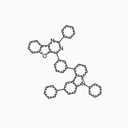 c1ccc(-c2ccc3c(c2)c2c(-c4cccc(-c5nc(-c6ccccc6)nc6c5oc5ccccc56)c4)cccc2n3-c2ccccc2)cc1